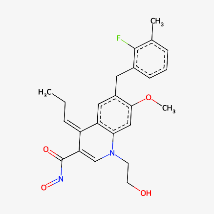 CC/C=C1/C(C(=O)N=O)=CN(CCO)c2cc(OC)c(Cc3cccc(C)c3F)cc21